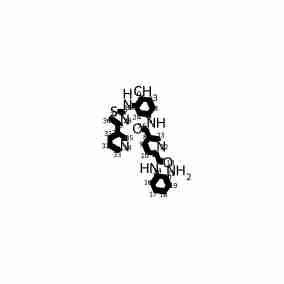 Cc1ccc(NC(=O)c2ccc(C(=O)Nc3ccccc3N)nc2)cc1Nc1nc(-c2cccnc2)cs1